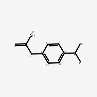 C=C(S)Cc1ccc(C(C)C)cc1